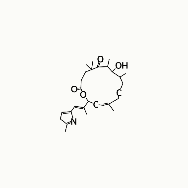 CC1=NC(/C=C(\C)C2C/C=C(/C)CCCC(C)C(O)C(C)C(=O)C(C)(C)CCC(=O)O2)=CC1